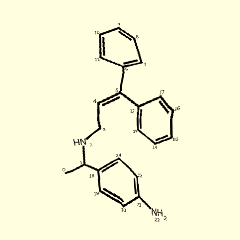 CC(NCC=C(c1ccccc1)c1ccccc1)c1ccc(N)cc1